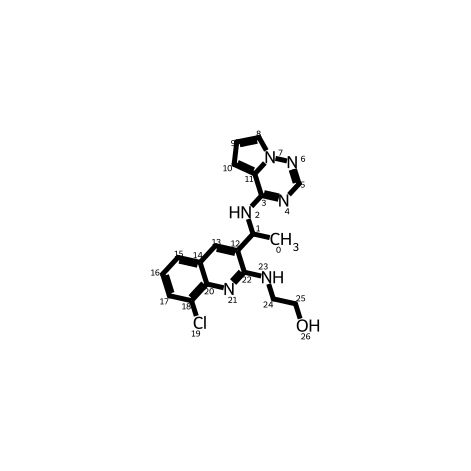 CC(Nc1ncnn2cccc12)c1cc2cccc(Cl)c2nc1NCCO